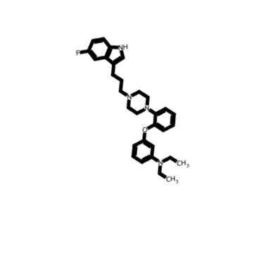 CCN(CC)c1cccc(Oc2ccccc2N2CCN(CCCc3c[nH]c4ccc(F)cc34)CC2)c1